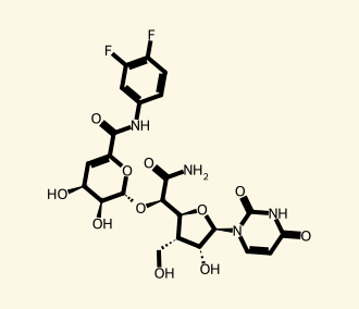 NC(=O)[C@H](O[C@H]1OC(C(=O)Nc2ccc(F)c(F)c2)=C[C@H](O)[C@@H]1O)[C@H]1O[C@@H](n2ccc(=O)[nH]c2=O)[C@H](O)[C@@H]1CO